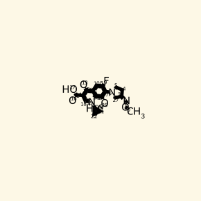 CON=C1CCN(c2c(F)cc3c(=O)c(C(=O)O)cn(C4CC4)c3c2OC)C1